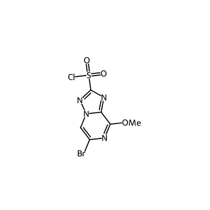 COc1nc(Br)cn2nc(S(=O)(=O)Cl)nc12